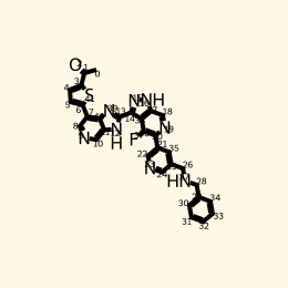 CC(=O)c1ccc(-c2cncc3[nH]c(-c4n[nH]c5cnc(-c6cncc(CNCc7ccccc7)c6)c(F)c45)nc23)s1